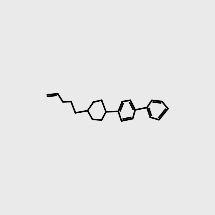 C=CCCCC1CCC(c2ccc(-c3ccccc3)cc2)CC1